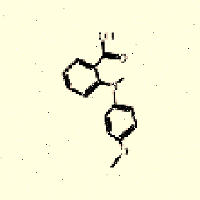 COc1ccc(N(C)c2ccccc2C(=O)O)cc1